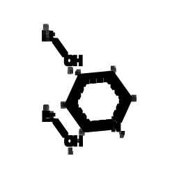 CCO.CCO.c1ccncc1